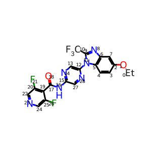 CCOc1ccc2c(c1)nc(C(F)(F)F)n2-c1cnc(NC(=O)c2c(F)cncc2F)cn1